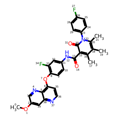 COc1cnc2c(Oc3ccc(NC(=O)c4c(C)c(C)c(C)n(-c5ccc(F)cc5)c4=O)cc3F)ccnc2c1